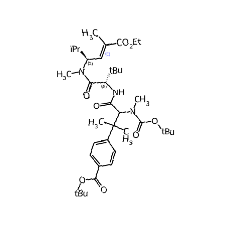 CCOC(=O)/C(C)=C/[C@H](C(C)C)N(C)C(=O)[C@@H](NC(=O)C(N(C)C(=O)OC(C)(C)C)C(C)(C)c1ccc(C(=O)OC(C)(C)C)cc1)C(C)(C)C